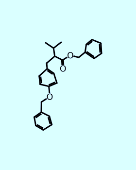 CC(C)C(Cc1ccc(OCc2ccccc2)cc1)C(=O)OCc1ccccc1